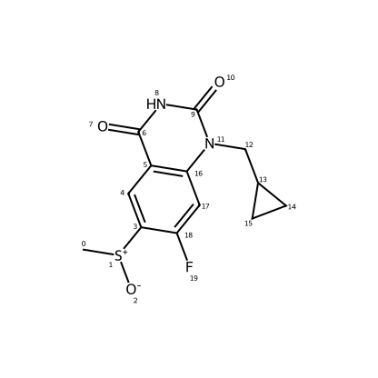 C[S+]([O-])c1cc2c(=O)[nH]c(=O)n(CC3CC3)c2cc1F